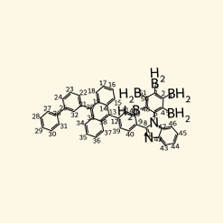 Bc1c(B)c(B)c(-n2c(-c3ccc(-c4c5ccccc5c(-c5cccc(-c6ccccc6)c5)c5ccccc45)cc3)nc3ccccc32)c(B)c1B